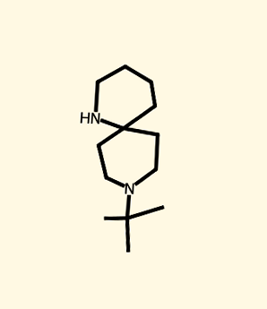 CC(C)(C)N1CCC2(CCCCN2)CC1